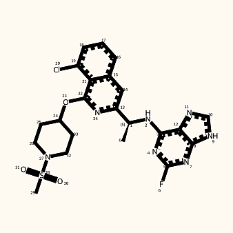 C[C@H](Nc1nc(F)nc2[nH]cnc12)c1cc2cccc(Cl)c2c(OC2CCN(S(C)(=O)=O)CC2)n1